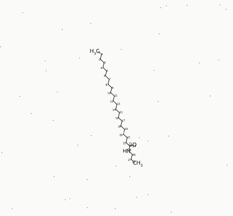 CCCCCCCCCCCCCCCCCCCCCCCC(=O)NCCC